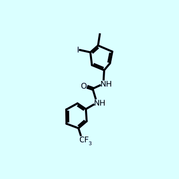 Cc1ccc(NC(=O)Nc2cccc(C(F)(F)F)c2)cc1I